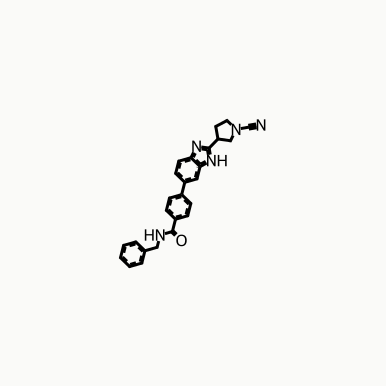 N#CN1CCC(c2nc3ccc(-c4ccc(C(=O)NCc5ccccc5)cc4)cc3[nH]2)C1